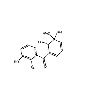 COC1(O)C=CC=C(C(=O)c2cccc(O)c2O)C1O